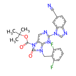 CC(C)(C)OC(=O)n1c(=O)n(Cc2c(F)cccc2F)c2nc(-n3cnc4ccc(C#N)cc43)ncc21